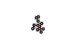 c1ccc(-c2c(-c3ccccc3)c3cc(-c4ccccc4N(c4ccc(-c5cccc6ccccc56)cc4)c4cccc(-c5cccc6c5sc5ccccc56)c4)ccc3c3ccccc23)cc1